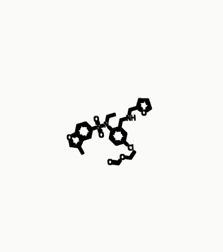 CCN(c1ccc(Cl)cc1CNCc1ccco1)S(=O)(=O)c1ccc2occ(C)c2c1.CCOC=O